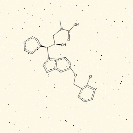 CN(C[C@@H](O)[C@H](c1ccccc1)n1ccc2cc(OCc3ccccc3Cl)ccc21)C(=O)O